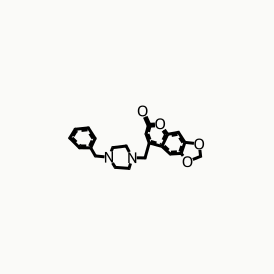 O=c1cc(CN2CCN(Cc3ccccc3)CC2)c2cc3c(cc2o1)OCO3